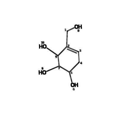 OCC1=CCC(O)C(O)C1O